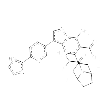 CC(=O)c1c(C2C[C@H]3CC[C@@H](C2)N3C(=O)C(C)F)nc2c(-c3ccc(-c4ncc[nH]4)nc3)cnn2c1N